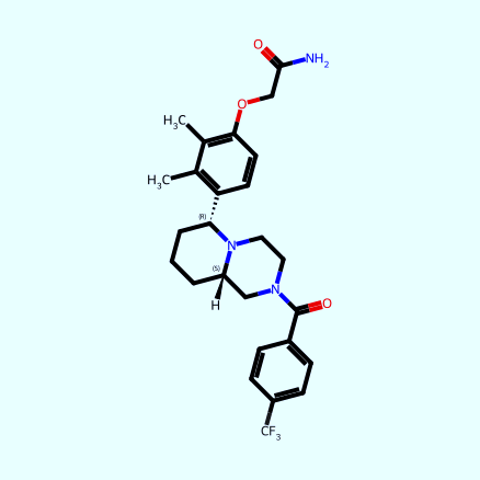 Cc1c(OCC(N)=O)ccc([C@H]2CCC[C@H]3CN(C(=O)c4ccc(C(F)(F)F)cc4)CCN32)c1C